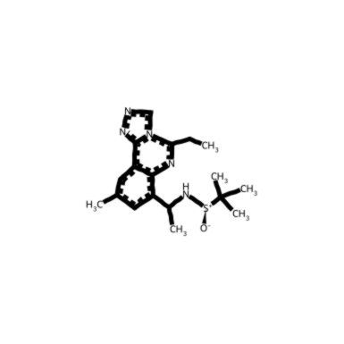 CCc1nc2c(C(C)N[S@+]([O-])C(C)(C)C)cc(C)cc2c2nncn12